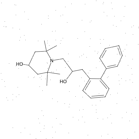 CC1(C)CC(O)CC(C)(C)N1CC(O)Cc1ccccc1-c1ccccc1